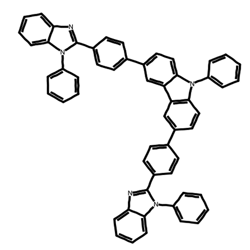 c1ccc(-n2c(-c3ccc(-c4ccc5c(c4)c4cc(-c6ccc(-c7nc8ccccc8n7-c7ccccc7)cc6)ccc4n5-c4ccccc4)cc3)nc3ccccc32)cc1